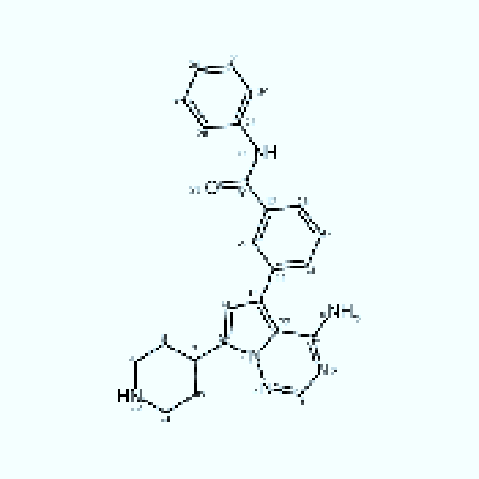 Nc1ncnn2c(C3CCNCC3)cc(-c3cccc(C(=O)Nc4ccccc4)c3)c12